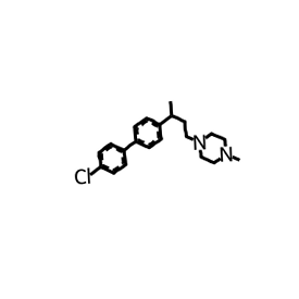 CC(CCN1CCN(C)CC1)c1ccc(-c2ccc(Cl)cc2)cc1